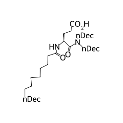 CCCCCCCCCCCCCCCCCC(=O)N[C@@H](CCC(=O)O)C(=O)N(CCCCCCCCCC)CCCCCCCCCC